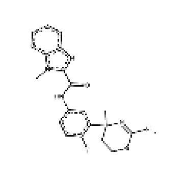 Cn1c(C(=O)Nc2ccc(F)c(C3(C)CCSC(N)=N3)c2)nc2ccccc21